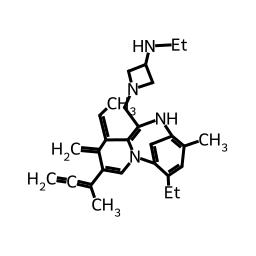 C=C=C(C)C1=CN2C(=C(CN3CC(NCC)C3)Nc3cc2c(CC)cc3C)/C(=C\C)C1=C